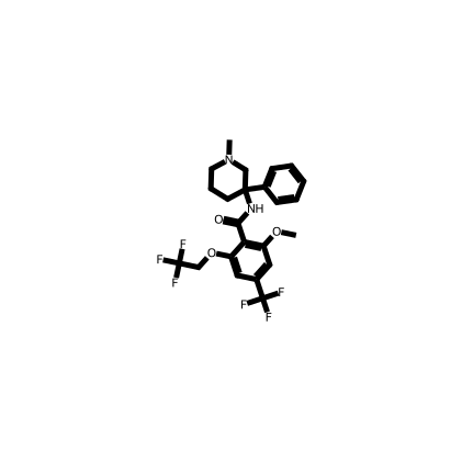 COc1cc(C(F)(F)F)cc(OCC(F)(F)F)c1C(=O)NC1(c2ccccc2)CCCN(C)C1